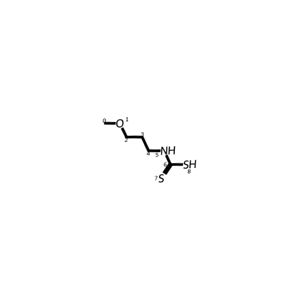 COCCCNC(=S)S